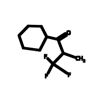 CC(C(=O)C1CCCCC1)C(F)(F)F